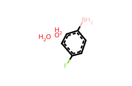 Bc1ccc(F)cc1.O.O